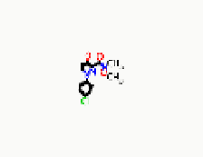 CON(C)C(=O)c1nn(-c2ccc(Cl)cc2)ccc1=O